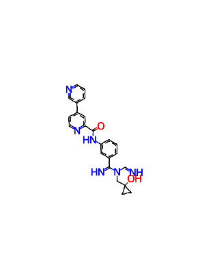 N=CN(CC1(O)CC1)C(=N)c1cccc(NC(=O)c2cc(-c3cccnc3)ccn2)c1